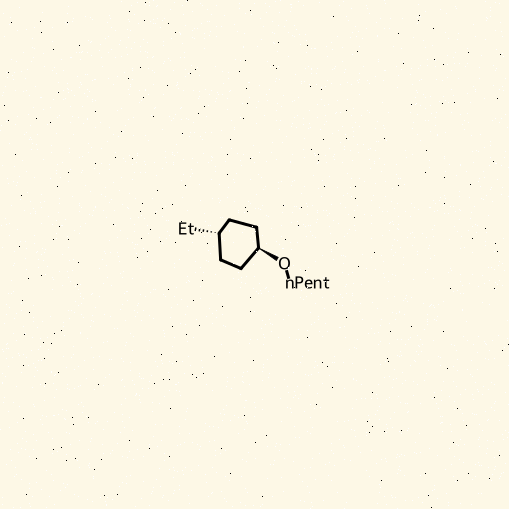 CCCCCO[C@H]1CC[C@H](CC)CC1